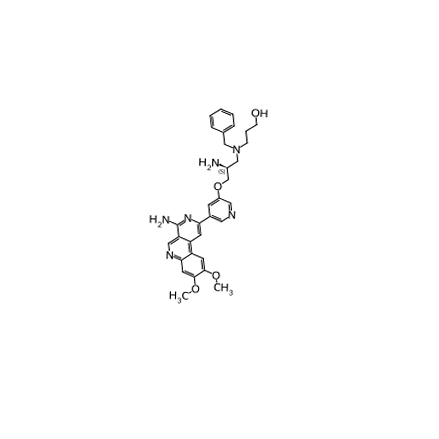 COc1cc2ncc3c(N)nc(-c4cncc(OC[C@@H](N)CN(CCCO)Cc5ccccc5)c4)cc3c2cc1OC